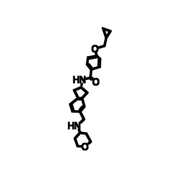 O=C(N[C@@H]1Cc2ccc(CNC3CCOCC3)cc2C1)c1ccc(OCC2CC2)cc1